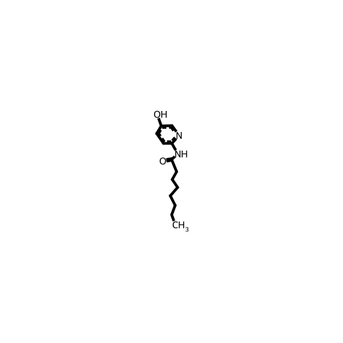 CCCCCCCC(=O)Nc1ccc(O)cn1